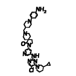 Nc1ccc(N2CCC(CN3CCC4(CC3)CCN(c3cncc(Nc5ncc(Cl)c(N6CCCC(C7CC7)C6)n5)c3)C4=O)CC2)cc1